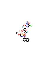 CC(C)OC(=O)[C@H](C)NP(=S)(OC[C@@]1(C(F)F)O[C@@H](n2cc(Cl)c(=O)[nH]c2=O)[C@@H](F)[C@@H]1O)Oc1cccc2ccccc12